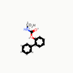 O=C(O)NC(=O)Oc1ccccc1-c1ccccc1